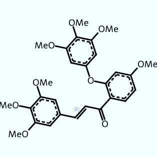 COc1ccc(C(=O)/C=C/c2cc(OC)c(OC)c(OC)c2)c(Oc2cc(OC)c(OC)c(OC)c2)c1